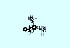 Cc1c(C2CCCC2)c(=O)oc2cc(OCc3nnn[nH]3)cc(OCc3nnn[nH]3)c12